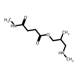 CNCC(C)COC(=O)CCC(=O)NC